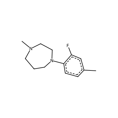 Cc1ccc(N2CCCN(C)CC2)c(F)c1